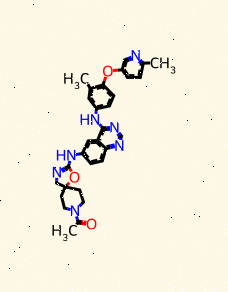 CC(=O)N1CCC2(CC1)CN=C(Nc1ccc3ncnc(Nc4ccc(Oc5ccc(C)nc5)c(C)c4)c3c1)O2